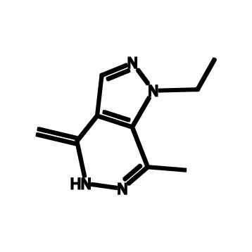 C=C1NN=C(C)c2c1cnn2CC